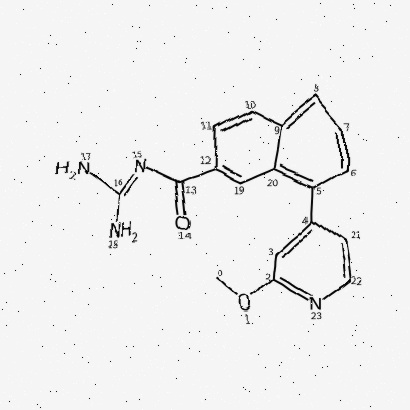 COc1cc(-c2cccc3ccc(C(=O)N=C(N)N)cc23)ccn1